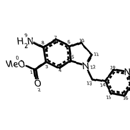 COC(=O)c1cc2c(cc1N)CCN2Cc1cccnc1